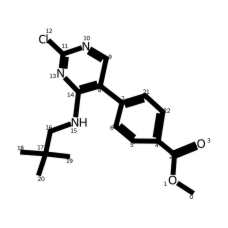 COC(=O)c1ccc(-c2cnc(Cl)nc2NCC(C)(C)C)cc1